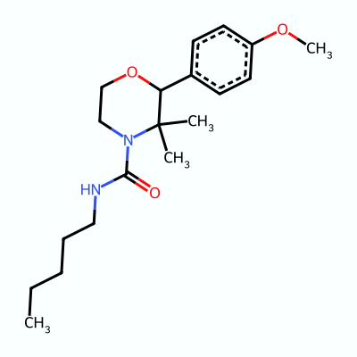 CCCCCNC(=O)N1CCOC(c2ccc(OC)cc2)C1(C)C